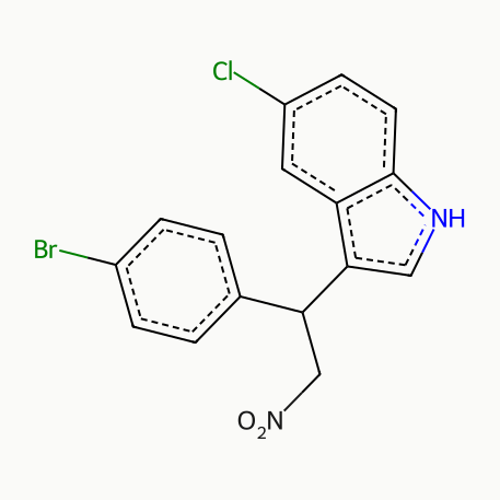 O=[N+]([O-])CC(c1ccc(Br)cc1)c1c[nH]c2ccc(Cl)cc12